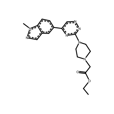 CCOC(=O)CN1CCN(c2nncc(-c3ccc4c(cnn4C)c3)n2)CC1